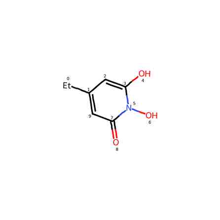 CCc1cc(O)n(O)c(=O)c1